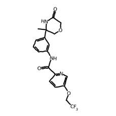 CC1(c2cccc(NC(=O)c3ccc(OCC(F)(F)F)cn3)c2)COCC(=O)N1